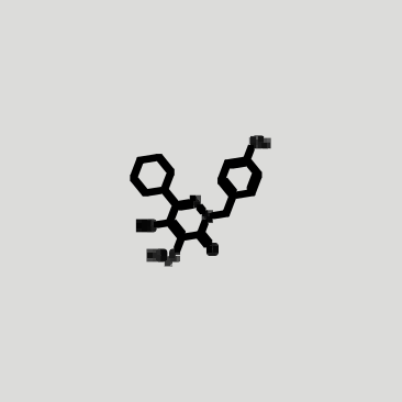 CC(C)(C)c1ccc(Cn2nc(C3CCCCC3)c(O)c(C(=O)O)c2=O)cc1